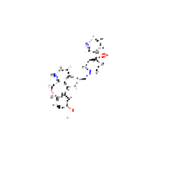 COc1ccc2c(c1)/C(=C/CCN1CCC(O)(c3cccnc3)CC1)c1cccnc1CO2